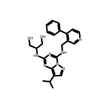 CC(C)c1cnn2c(NCc3cnccc3-c3ccccc3)nc(NC(CO)CO)nc12